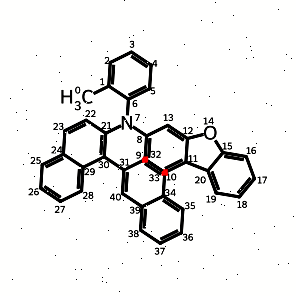 Cc1ccccc1N(c1ccc2c(c1)oc1ccccc12)c1ccc2ccccc2c1-c1ccc2ccccc2c1